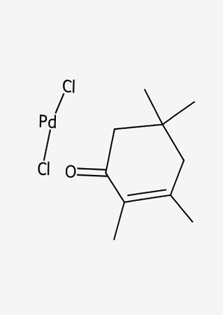 CC1=C(C)C(=O)CC(C)(C)C1.[Cl][Pd][Cl]